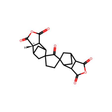 O=C1OC(=O)C2C1C1CC2C2(CCC3(CC4CC3C3C(=O)OC(=O)[C@@H]43)C2=O)C1